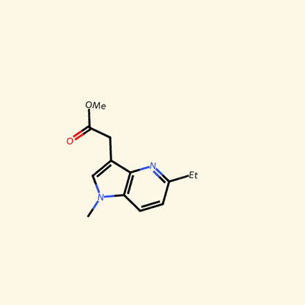 CCc1ccc2c(n1)c(CC(=O)OC)cn2C